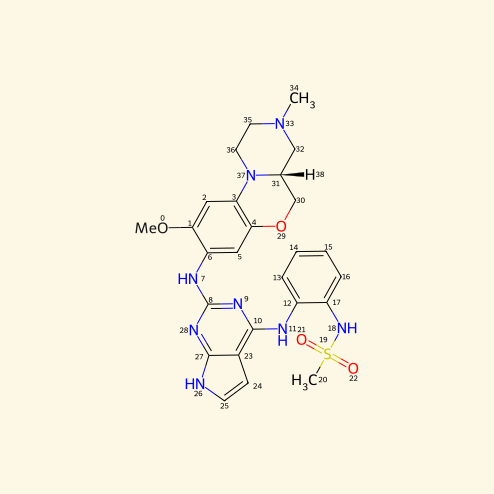 COc1cc2c(cc1Nc1nc(Nc3ccccc3NS(C)(=O)=O)c3cc[nH]c3n1)OC[C@H]1CN(C)CCN21